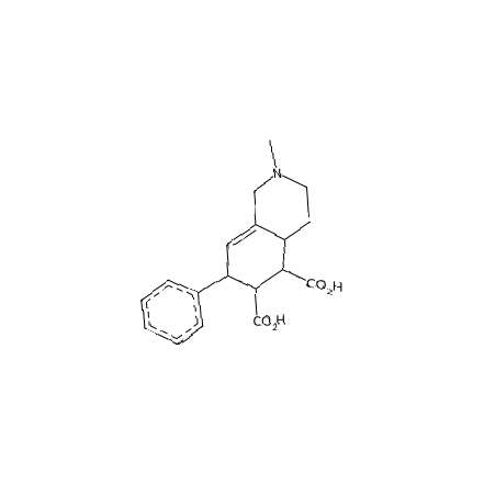 CN1CCC2C(=CC(c3ccccc3)C(C(=O)O)C2C(=O)O)C1